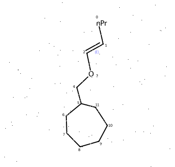 CCC/C=C/OCC1CC[CH]CCC1